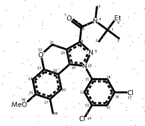 CCC(C)(C)N(C)C(=O)c1nn(-c2cc(Cl)cc(Cl)c2)c2c1COc1cc(OC)c(C)cc1-2